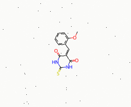 COc1ccccc1C=C1C(=O)NC(=S)NC1=O